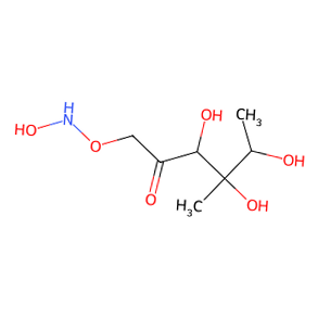 CC(O)C(C)(O)C(O)C(=O)CONO